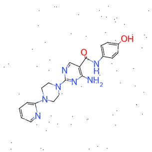 Nc1nc(N2CCN(c3ccccn3)CC2)ncc1C(=O)Nc1ccc(O)cc1